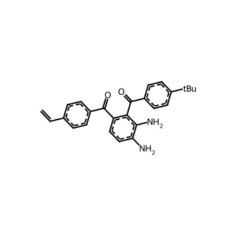 C=Cc1ccc(C(=O)c2ccc(N)c(N)c2C(=O)c2ccc(C(C)(C)C)cc2)cc1